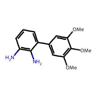 COc1cc(-c2cccc(N)c2N)cc(OC)c1OC